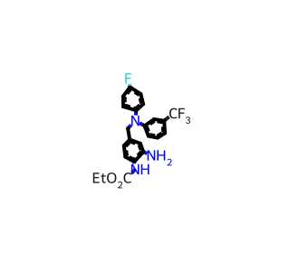 CCOC(=O)Nc1ccc(CN(c2ccc(F)cc2)c2cccc(C(F)(F)F)c2)cc1N